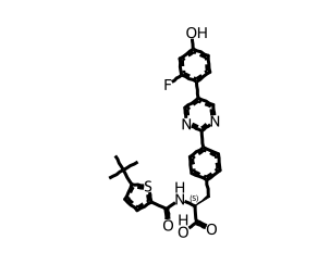 CC(C)(C)c1ccc(C(=O)N[C@@H](Cc2ccc(-c3ncc(-c4ccc(O)cc4F)cn3)cc2)C(=O)O)s1